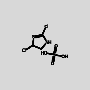 ClC1=NC(Cl)CN1.O=S(=O)(O)O